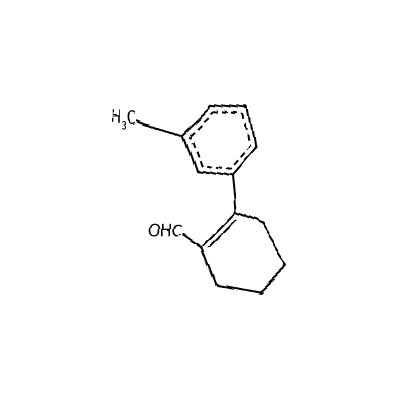 Cc1cccc(C2=C(C=O)CCCC2)c1